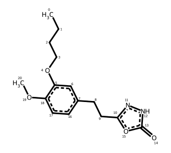 CCCCOc1cc(CCc2n[nH]c(=O)o2)ccc1OC